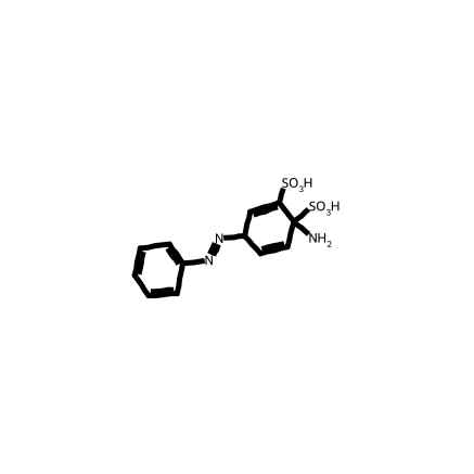 NC1(S(=O)(=O)O)C=CC(/N=N/c2ccccc2)C=C1S(=O)(=O)O